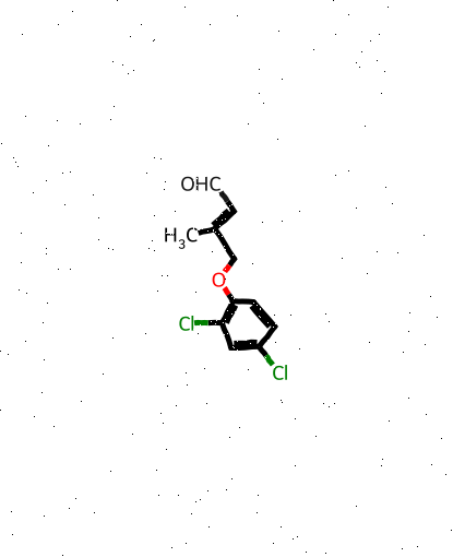 C/C(=C\C=O)COc1ccc(Cl)cc1Cl